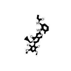 C=CC(=O)Nc1cccc(C)c1Nc1cc2c(=O)n(CC3CC3)c(-c3c(Cl)c(OC)cc(OC)c3Cl)cc2cn1